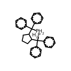 PC(c1ccccc1)(c1ccccc1)C1CCCC1C(P)(c1ccccc1)c1ccccc1